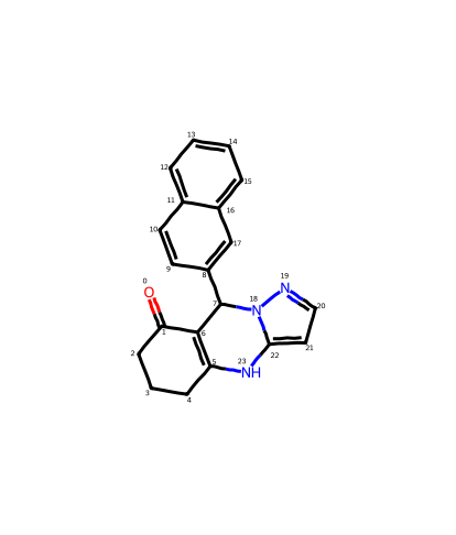 O=C1CCCC2=C1C(c1ccc3ccccc3c1)n1nccc1N2